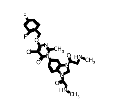 CNCC(=O)N1CN(C(=O)CNC)c2cc(-n3c(C)nc(OCc4ccc(F)cc4F)c(Cl)c3=O)ccc21